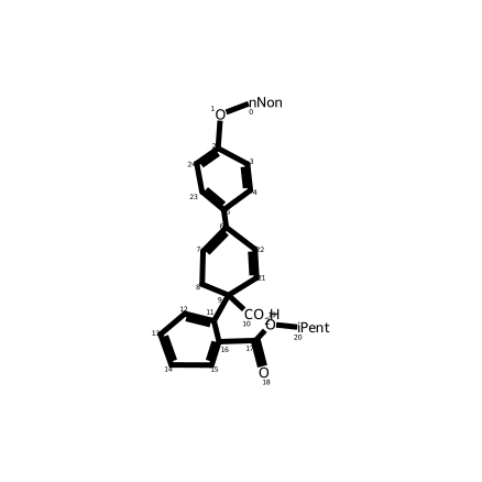 CCCCCCCCCOc1ccc(C2=CCC(C(=O)O)(c3ccccc3C(=O)OC(C)CCC)C=C2)cc1